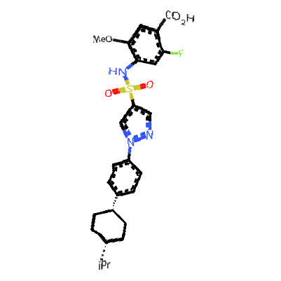 COc1cc(C(=O)O)c(F)cc1NS(=O)(=O)c1cnn(-c2ccc([C@H]3CC[C@@H](C(C)C)CC3)cc2)c1